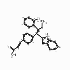 CC/C(=C(/c1ccc(/C=C/C(=O)O)cc1)c1cc2ccccc2[nH]1)c1ccccc1Cl